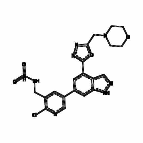 O=[SH](=O)NCc1cc(-c2cc(-c3nnc(CN4CCOCC4)o3)c3cn[nH]c3c2)cnc1Cl